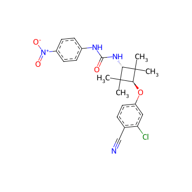 CC1(C)[C@H](NC(=O)Nc2ccc([N+](=O)[O-])cc2)C(C)(C)[C@H]1Oc1ccc(C#N)c(Cl)c1